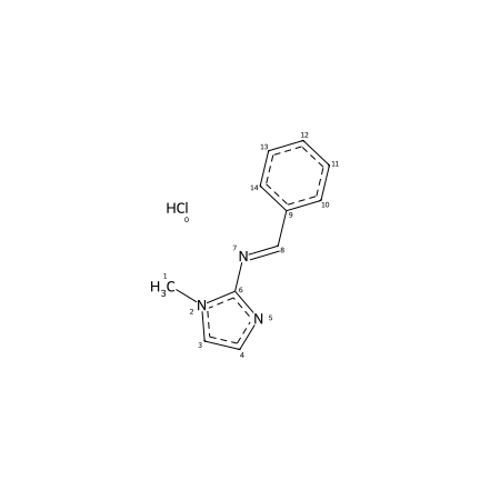 Cl.Cn1ccnc1N=Cc1ccccc1